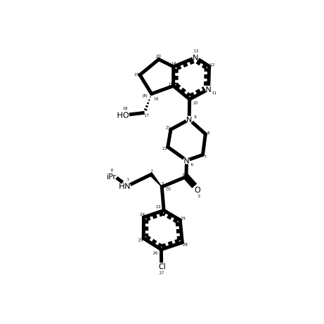 CC(C)NC[C@@H](C(=O)N1CCN(c2ncnc3c2[C@H](CO)CC3)CC1)c1ccc(Cl)cc1